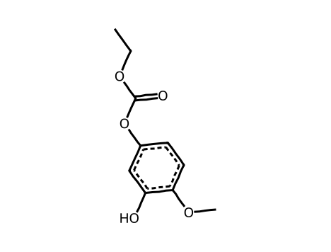 CCOC(=O)Oc1ccc(OC)c(O)c1